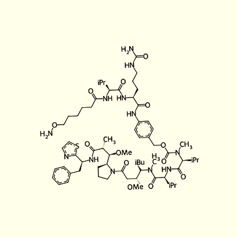 CC[C@H](C)C([C@@H](CC(=O)N1CCC[C@H]1[C@H](OC)[C@@H](C)C(=O)N[C@@H](Cc1ccccc1)c1nccs1)OC)N(C)C(=O)[C@@H](NC(=O)[C@H](C(C)C)N(C)C(=O)OCc1ccc(NC(=O)[C@H](CCCNC(N)=O)NC(=O)[C@@H](NC(=O)CCCCCON)C(C)C)cc1)C(C)C